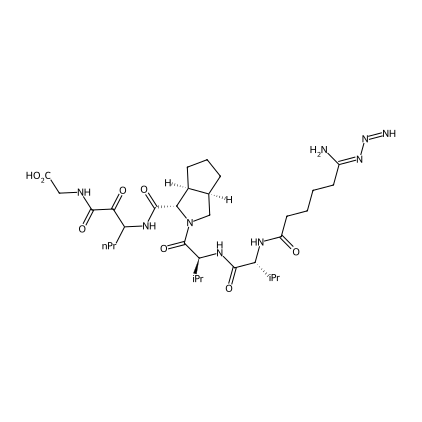 CCCC(NC(=O)[C@@H]1[C@H]2CCC[C@H]2CN1C(=O)[C@@H](NC(=O)[C@H](NC(=O)CCCC/C(N)=N/N=N)C(C)C)C(C)C)C(=O)C(=O)NCC(=O)O